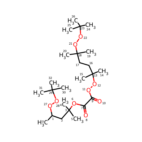 CC(CC(C)(C)OC(=O)C(=O)OOC(C)(C)CCC(C)(C)OOC(C)(C)C)OOC(C)(C)C